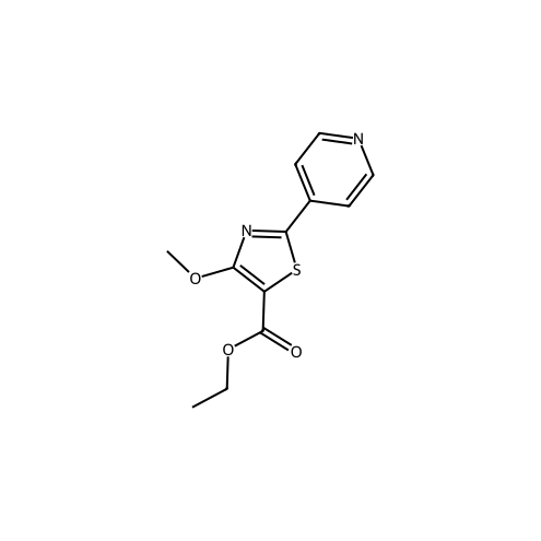 CCOC(=O)c1sc(-c2ccncc2)nc1OC